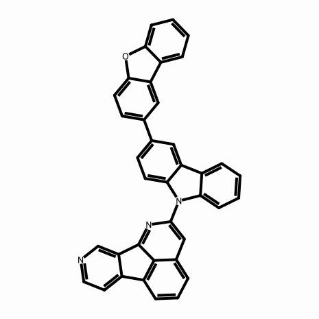 c1cc2c3c(nc(-n4c5ccccc5c5cc(-c6ccc7oc8ccccc8c7c6)ccc54)cc3c1)-c1cnccc1-2